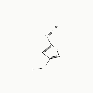 CCOc1csc(N=C=O)c1